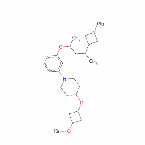 CC(CC(C)C1CN(C(C)(C)C)C1)Oc1cccc(N2CCC(OC3CC(OC(C)(C)C)C3)CC2)c1